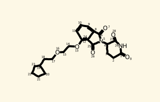 O=C1CCC(N2C(=O)c3cccc(OCCOCCC4CCCC4)c3C2=O)C(=O)N1